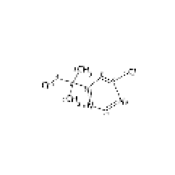 CC(C)(CCl)c1cc(Cl)ncn1